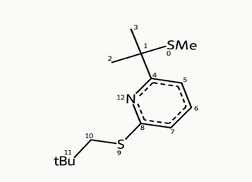 CSC(C)(C)c1cccc(SCC(C)(C)C)n1